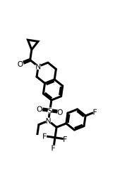 CCN(C(c1ccc(F)cc1)C(F)(F)F)S(=O)(=O)c1ccc2c(c1)CN(C(=O)C1CC1)CC2